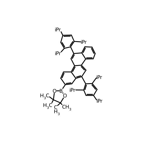 CC(C)c1cc(C(C)C)c(-c2cc3c4ccc(B5OC(C)(C)C(C)(C)O5)cc4c(-c4c(C(C)C)cc(C(C)C)cc4C(C)C)cc3c3ccccc23)c(C(C)C)c1